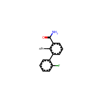 CCCc1c(C(N)=O)cccc1-c1ccccc1F